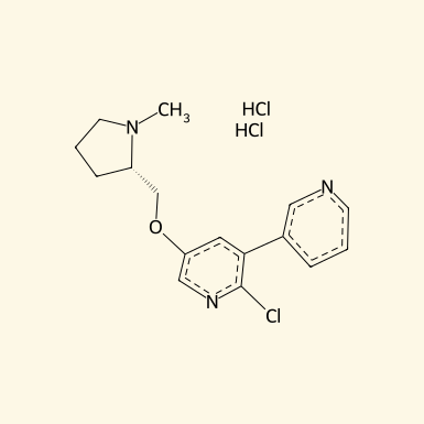 CN1CCC[C@H]1COc1cnc(Cl)c(-c2cccnc2)c1.Cl.Cl